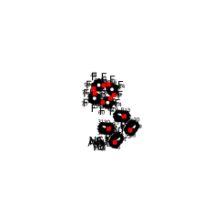 CC#N.CC(=O)[O-].CCCCP(C12CC3CC(CC(C3)C1)C2)C12CC3CC(CC(C3)C1)C2.CCCCP(C12CC3CC(CC(C3)C1)C2)C12CC3CC(CC(C3)C1)C2.Fc1c(F)c(F)c([B-](c2c(F)c(F)c(F)c(F)c2F)(c2c(F)c(F)c(F)c(F)c2F)c2c(F)c(F)c(F)c(F)c2F)c(F)c1F.[Pd+2]